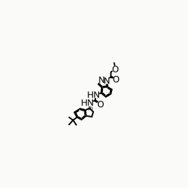 COCC(=O)n1ncc2c(NC(=O)N[C@@H]3CCc4cc(C(C)(C)C)ccc43)cccc21